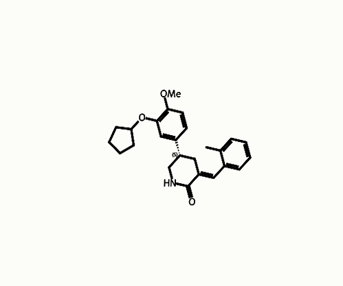 COc1ccc([C@H]2CNC(=O)C(=Cc3ccccc3C)C2)cc1OC1CCCC1